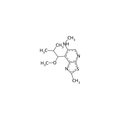 CNc1cnc2sc(C)nc2c1C(OC)C(C)C